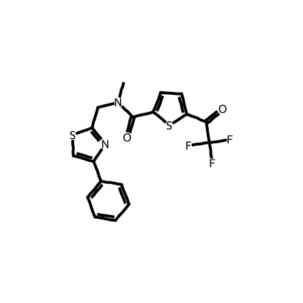 CN(Cc1nc(-c2ccccc2)cs1)C(=O)c1ccc(C(=O)C(F)(F)F)s1